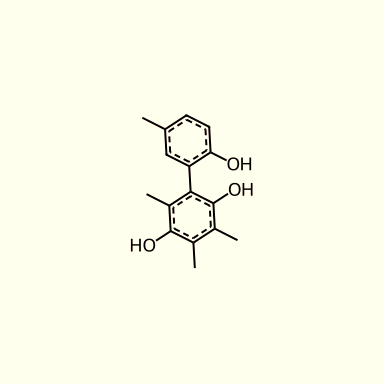 Cc1ccc(O)c(-c2c(C)c(O)c(C)c(C)c2O)c1